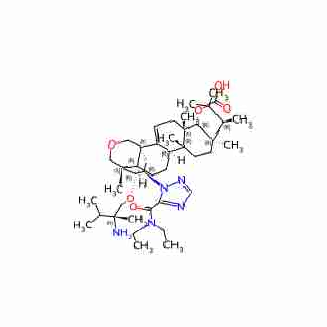 CCN(CC)C(=O)c1ncnn1[C@@H]1C[C@@]23COC[C@](C)([C@@H]2CC[C@H]2C3=CC[C@]3(C)[C@H](OC(=O)O)[C@@](C)([C@H](C)C(C)C)CC[C@]23C)[C@H]1OC[C@](C)(N)C(C)C